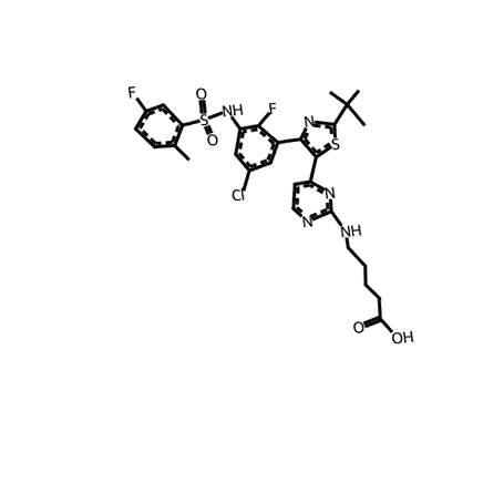 Cc1ccc(F)cc1S(=O)(=O)Nc1cc(Cl)cc(-c2nc(C(C)(C)C)sc2-c2ccnc(NCCCCC(=O)O)n2)c1F